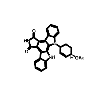 CC(=O)O[C@H]1C=CC(n2c3ccccc3c3c4c(c5c6ccccc6[nH]c5c32)C(=O)NC4=O)CC1